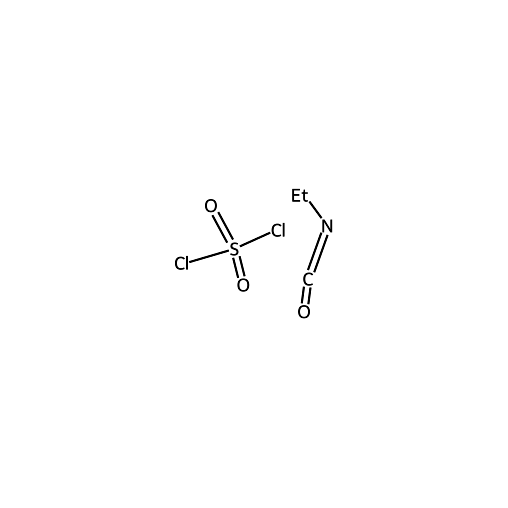 CCN=C=O.O=S(=O)(Cl)Cl